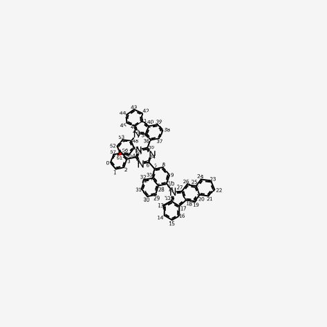 c1ccc(-c2nc(-c3ccc(-n4c5ccccc5c5cc6ccccc6cc54)c4ccccc34)nc(-c3cccc4c5ccccc5n(-c5ccccc5)c34)n2)cc1